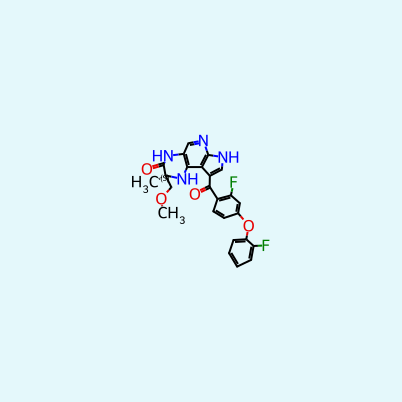 COC[C@]1(C)Nc2c(cnc3[nH]cc(C(=O)c4ccc(Oc5ccccc5F)cc4F)c23)NC1=O